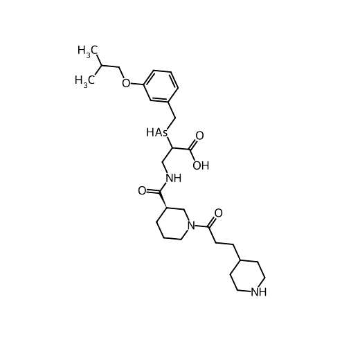 CC(C)COc1cccc(C[AsH]C(CNC(=O)[C@@H]2CCCN(C(=O)CCC3CCNCC3)C2)C(=O)O)c1